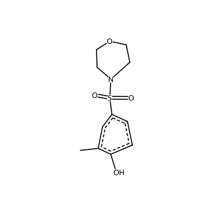 Cc1cc(S(=O)(=O)N2CCOCC2)ccc1O